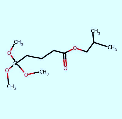 CO[Si](CCCC(=O)OCC(C)C)(OC)OC